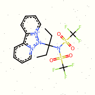 CCC(CC)(N(S(=O)(=O)C(F)(F)F)S(=O)(=O)C(F)(F)F)n1[n+]2ccccc2c2cccc[n+]21